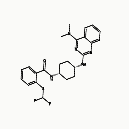 CN(C)c1nc(N[C@H]2CC[C@@H](NC(=O)c3ccccc3SC(F)F)CC2)nc2ccccc12